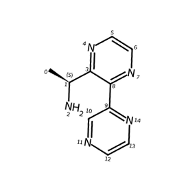 C[C@H](N)c1nccnc1-c1cnccn1